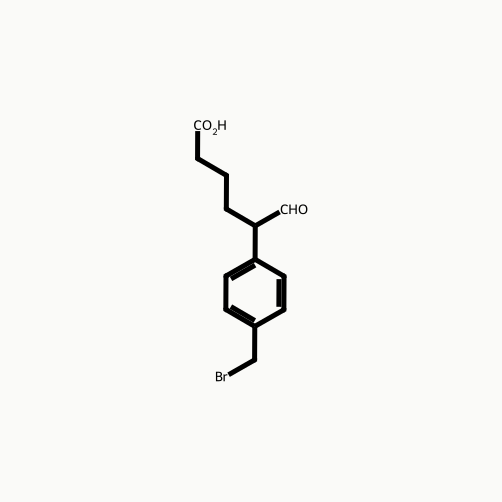 O=CC(CCCC(=O)O)c1ccc(CBr)cc1